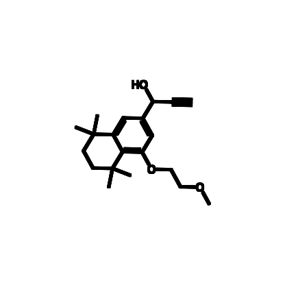 C#CC(O)c1cc(OCCOC)c2c(c1)C(C)(C)CCC2(C)C